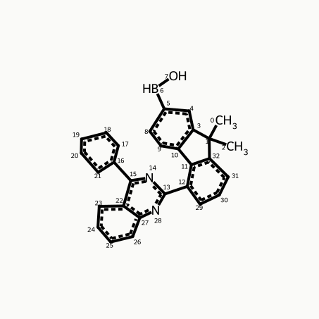 CC1(C)c2cc(BO)ccc2-c2c(-c3nc(-c4ccccc4)c4ccccc4n3)cccc21